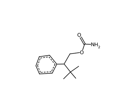 CC(C)(C)C(COC(N)=O)c1ccccc1